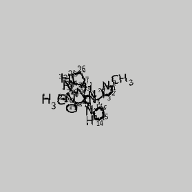 Cc1ccc(Cn2nc3c(c2Nc2ccccc2)C(=O)N(C)C2=N[C@@H]4CCC[C@@H]4N23)cn1